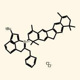 CC1=CCC(C)(C)c2cc3c(cc21)-c1cc2c(cc1C3)C(C)(C)[CH]([Zr+2]([C]1=CC(C(C)(C)C)=CC1)=[C](Cc1ccccc1)Cc1ccccc1)C=C2C.[Cl-].[Cl-]